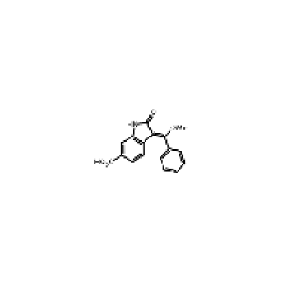 CO/C(=C1\C(=O)Nc2cc(C(=O)O)ccc21)c1ccccc1